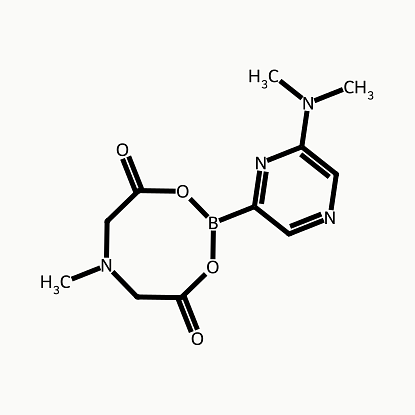 CN1CC(=O)OB(c2cncc(N(C)C)n2)OC(=O)C1